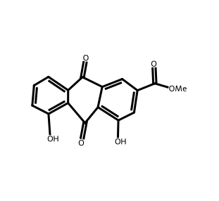 COC(=O)c1cc(O)c2c(c1)C(=O)c1cccc(O)c1C2=O